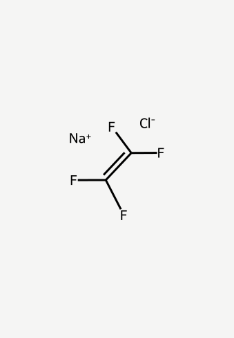 FC(F)=C(F)F.[Cl-].[Na+]